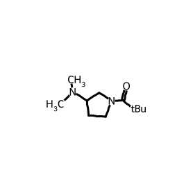 CN(C)C1CCN(C(=O)C(C)(C)C)C1